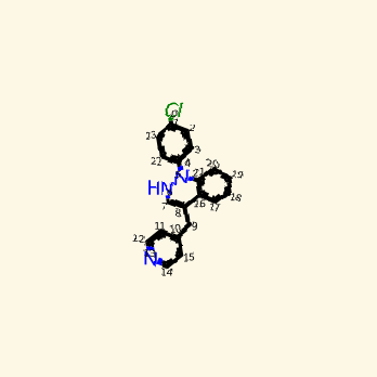 Clc1ccc(N2NC=C(Cc3ccncc3)c3ccccc32)cc1